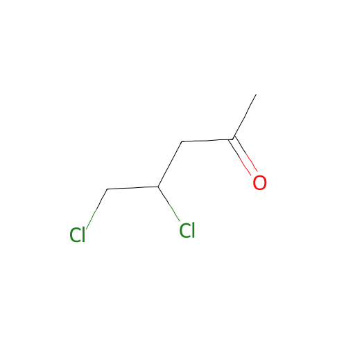 CC(=O)CC(Cl)CCl